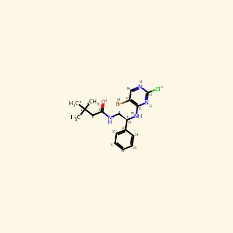 CC(C)(C)CC(=O)NC[C@@H](Nc1nc(Cl)ncc1Br)c1ccccc1